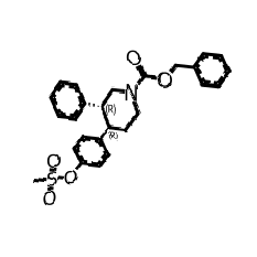 CS(=O)(=O)Oc1ccc([C@@H]2CCN(C(=O)OCc3ccccc3)C[C@H]2c2ccccc2)cc1